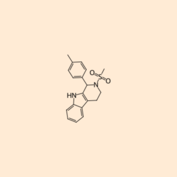 Cc1ccc(C2c3[nH]c4ccccc4c3CCN2S(C)(=O)=O)cc1